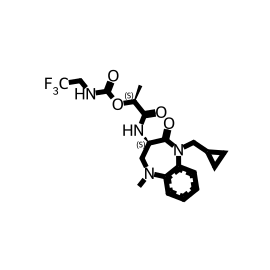 C[C@H](OC(=O)NCC(F)(F)F)C(=O)N[C@H]1CN(C)c2ccccc2N(CC2CC2)C1=O